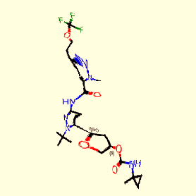 Cn1nc(CCOC(F)(F)F)cc1C(=O)Nc1cc([C@H]2C[C@@H](OC(=O)NC3(C)CC3)CO2)n(C(C)(C)C)n1